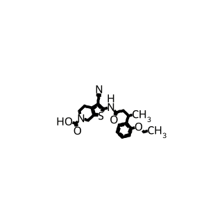 CCOc1ccccc1C(C)CC(=O)Nc1sc2c(c1C#N)CCN(C(=O)O)C2